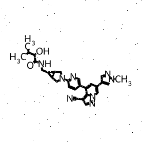 CC(C)C(O)C(=O)NCC1C2CN(c3ccc(-c4cc(-c5cnn(C)c5)cn5ncc(C#N)c45)cn3)CC12